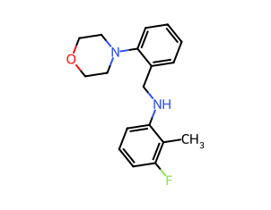 Cc1c(F)cccc1NCc1ccccc1N1CCOCC1